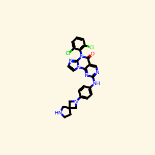 O=c1c2cnc(Nc3ccc(N4CC5(CCNC5)C4)cc3)nc2n2ccnc2n1-c1c(Cl)cccc1Cl